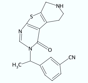 CC(c1cccc(C#N)c1)n1cnc2sc3c(c2c1=O)CCNC3